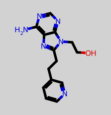 Nc1ncnc2c1nc(CCc1cccnc1)n2CCO